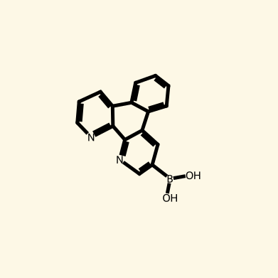 OB(O)c1cnc2c(c1)c1ccccc1c1cccnc12